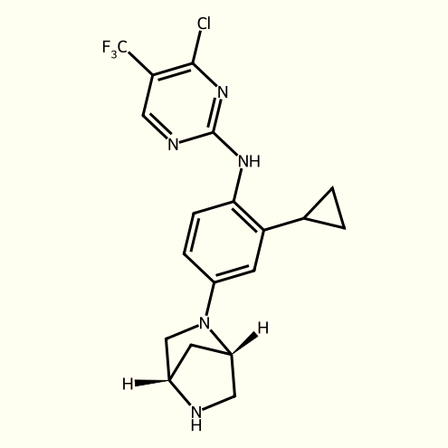 FC(F)(F)c1cnc(Nc2ccc(N3C[C@@H]4C[C@H]3CN4)cc2C2CC2)nc1Cl